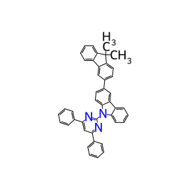 CC1(C)c2ccccc2-c2cc(-c3ccc4c(c3)c3ccccc3n4-c3nc(-c4ccccc4)cc(-c4ccccc4)n3)ccc21